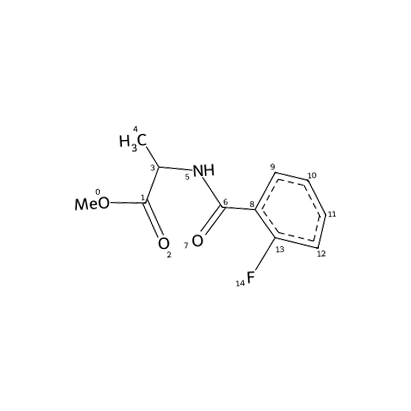 COC(=O)C(C)NC(=O)c1ccccc1F